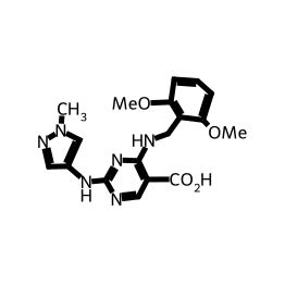 COc1cccc(OC)c1CNc1nc(Nc2cnn(C)c2)ncc1C(=O)O